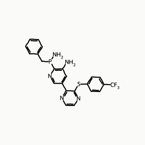 Nc1cc(-c2nccnc2Sc2ccc(C(F)(F)F)cc2)cnc1P(N)Cc1ccccc1